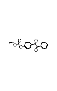 C=COC(=O)Oc1ccc(C(=O)C(=O)c2ccccc2)cc1